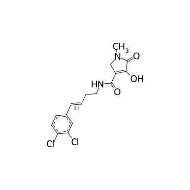 CN1CC(C(=O)NCC/C=C/c2ccc(Cl)c(Cl)c2)=C(O)C1=O